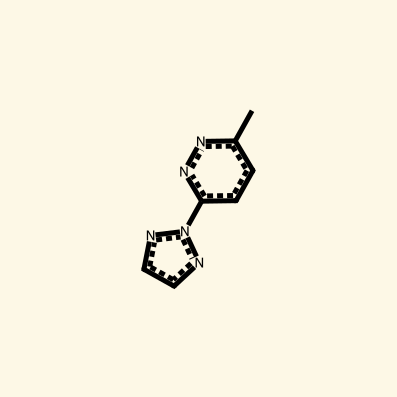 Cc1ccc(-n2nccn2)nn1